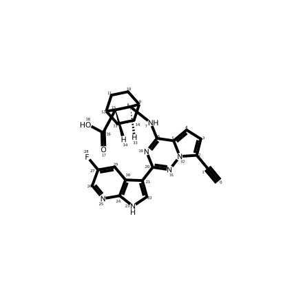 C#Cc1ccc2c(N[C@@H]3C4CCC(CC4)[C@H]3C(=O)O)nc(-c3c[nH]c4ncc(F)cc34)nn12